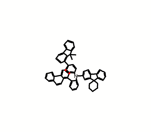 CC1(C)c2ccccc2-c2cccc(-c3ccc(N(c4ccc5c(c4)C4(CCCCC4)c4ccccc4-5)c4ccccc4-c4cccc5c4ccc4ccccc45)cc3)c21